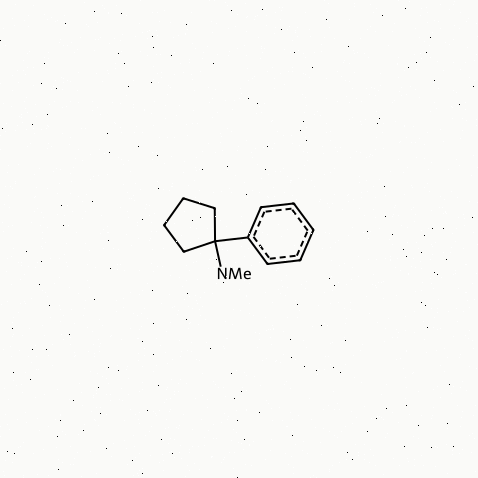 CNC1(c2ccccc2)CCCC1